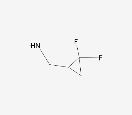 [NH]CC1CC1(F)F